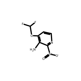 Nc1c(OC(F)F)ccnc1[N+](=O)[O-]